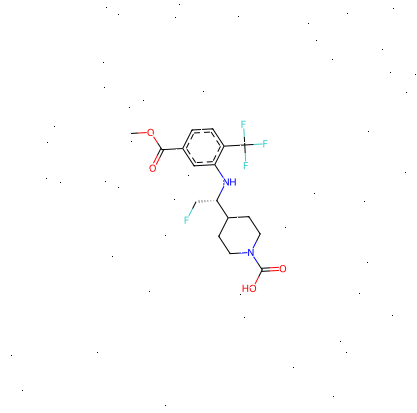 COC(=O)c1ccc(C(F)(F)F)c(N[C@@H](CF)C2CCN(C(=O)O)CC2)c1